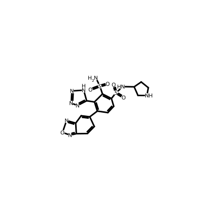 NS(=O)(=O)c1c(S(=O)(=O)NC2CCNC2)ccc(-c2ccc3nonc3c2)c1-c1nnn[nH]1